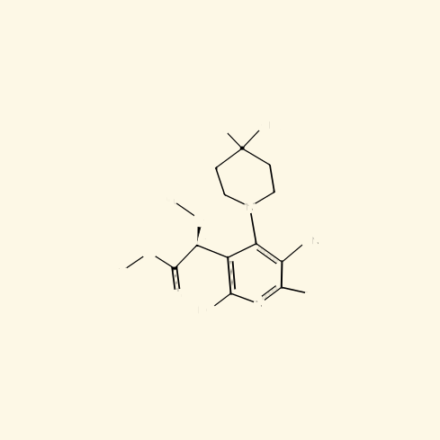 Cc1nc(C)c([C@H](OC(C)(C)C)C(=O)OC(C)C)c(N2CCC(C)(C)CC2)c1C#N